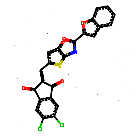 O=C1C(=Cc2cc3oc(-c4cc5ccccc5o4)nc3s2)C(=O)c2cc(Cl)c(Cl)cc21